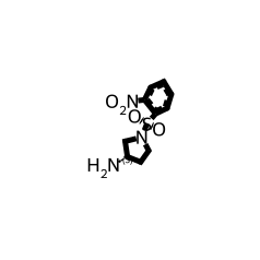 N[C@H]1CCN(S(=O)(=O)c2ccccc2[N+](=O)[O-])C1